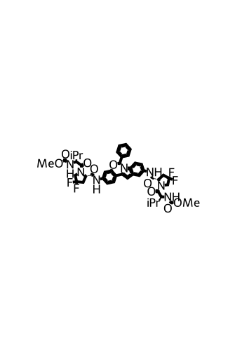 COC(=O)N[C@H](C(=O)N1CC(F)(F)C[C@H]1C(=O)Nc1ccc2c(c1)OC(c1ccccc1)n1c-2cc2cc(NC(=O)[C@@H]3CC(F)(F)CN3C(=O)[C@@H](NC(=O)OC)C(C)C)ccc21)C(C)C